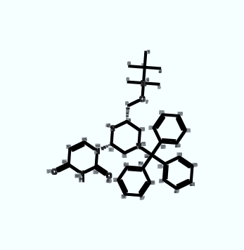 CC(C)(C)[Si](C)(C)OC[C@@H]1CN(C(c2ccccc2)(c2ccccc2)c2ccccc2)C[C@H](n2ccc(=O)[nH]c2=O)S1